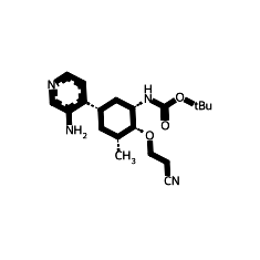 C[C@@H]1C[C@H](c2ccncc2N)C[C@H](NC(=O)OC(C)(C)C)[C@@H]1OCCC#N